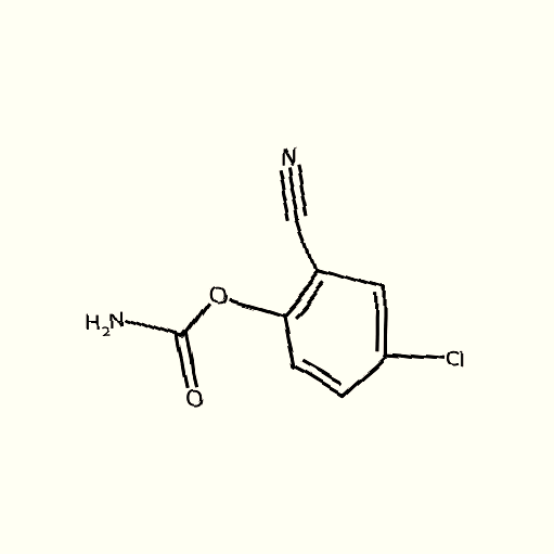 N#Cc1cc(Cl)ccc1OC(N)=O